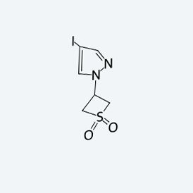 O=S1(=O)CC(n2cc(I)cn2)C1